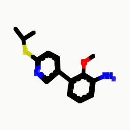 COc1c(N)cccc1-c1ccc(SC(C)C)nc1